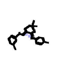 Cc1ccc(/N=C2\SC(C)(C)CC\C2=C/Sc2cccc(C)c2)cc1